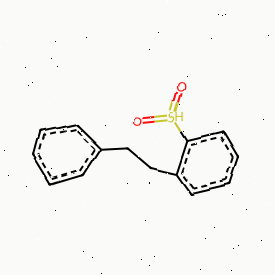 O=[SH](=O)c1ccccc1CCc1ccccc1